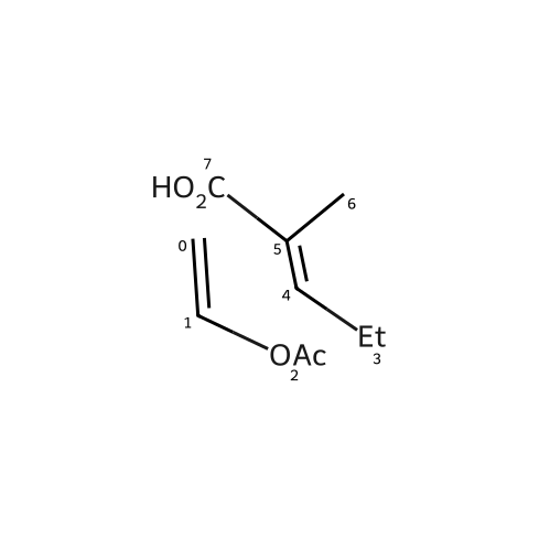 C=COC(C)=O.CCC=C(C)C(=O)O